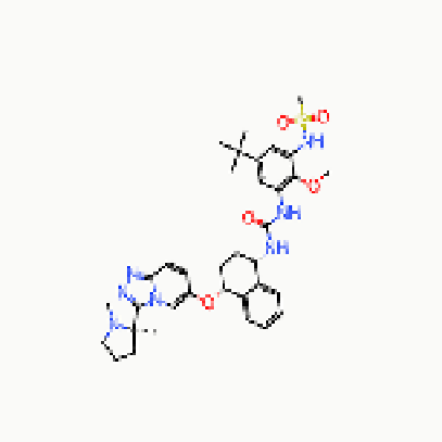 COc1c(NC(=O)N[C@H]2CC[C@@H](Oc3ccc4nnc([C@@]5(C)CCCN5C)n4c3)c3ccccc32)cc(C(C)(C)C)cc1NS(C)(=O)=O